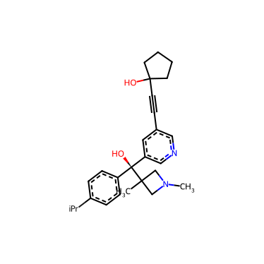 CC(C)c1ccc([C@](O)(c2cncc(C#CC3(O)CCCC3)c2)C2(C)CN(C)C2)cc1